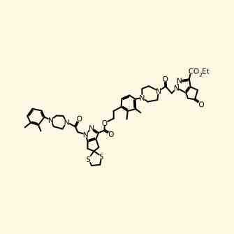 CCOC(=O)c1nn(CC(=O)N2CCN(c3ccc(CCOC(=O)c4nn(CC(=O)N5CCN(c6cccc(C)c6C)CC5)c5c4CC4(C5)SCCS4)c(C)c3C)CC2)c2c1CC(=O)C2